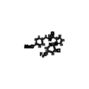 COc1ccc(CNC(=O)c2cccn2-c2ncc(C(F)(F)F)cc2Cl)cc1